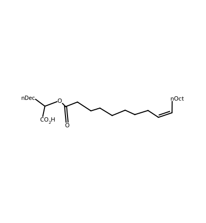 CCCCCCCC/C=C\CCCCCCCC(=O)OC(CCCCCCCCCC)C(=O)O